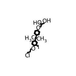 CC(C)(c1ccc(OC[C@H](O)CO)cc1)c1ccc(OCCCCl)c(I)c1